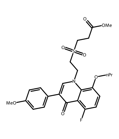 CCCOc1ccc(F)c2c(=O)c(-c3ccc(OC)cc3)cn(CCS(=O)(=O)CCC(=O)OC)c12